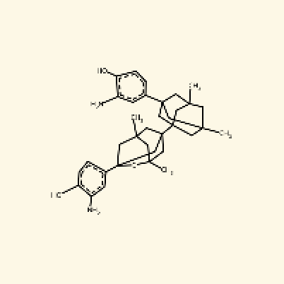 CC12CC3(C)CC(c4ccc(O)c(N)c4)(C1)CC(C14CC5(C)CC(C)(CC(c6ccc(O)c(N)c6)(C5)C1)C4)(C2)C3